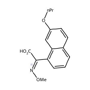 CCCOc1ccc2cccc(/C(=N\OC)C(=O)O)c2c1